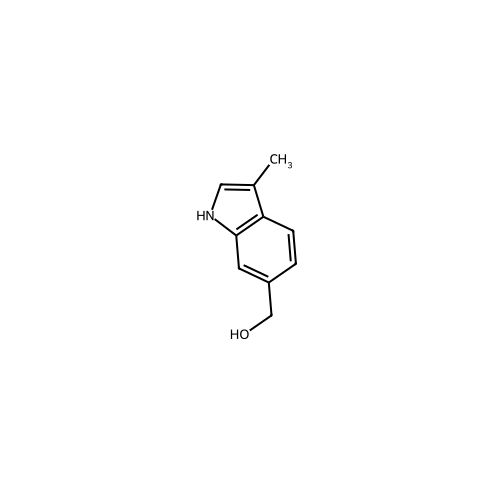 Cc1c[nH]c2cc(CO)ccc12